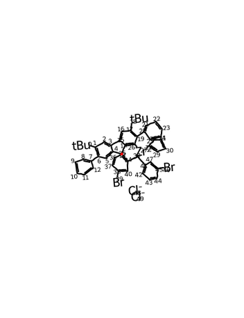 CC(C)(C)c1cc2c(cc1-c1ccccc1)Cc1c-2cc(C(C)(C)C)c(-c2ccccc2)[c]1[Zr+2]([C]1=CC=CC1)=[C](c1cccc(Br)c1)c1cccc(Br)c1.[Cl-].[Cl-]